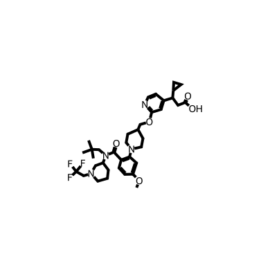 COc1ccc(C(=O)N(CC(C)(C)C)C2CCCN(CC(F)(F)F)C2)c(N2CCC(COc3cc(C(CC(=O)O)C4CC4)ccn3)CC2)c1